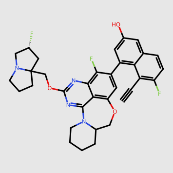 C#Cc1c(F)ccc2cc(O)cc(-c3cc4c5c(nc(OCC67CCCN6C[C@H](F)C7)nc5c3F)N3CCCCC3CO4)c12